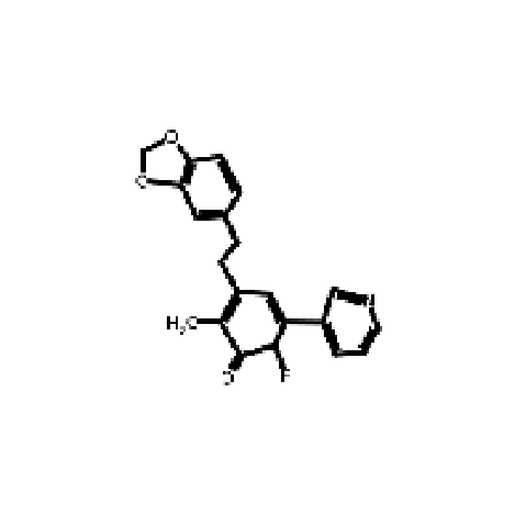 [CH2]C1=C(CCc2ccc3c(c2)OCO3)C=C(c2cccnc2)C(F)C1=O